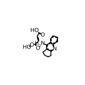 Nc1c2c(nc3ccccc13)CCCC2.O=C(O)C=CC(=O)OO